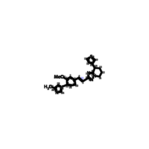 COc1cc(/C=C/c2nc3n(n2)CCCC3c2ccsc2)ccc1-n1cnc(C)c1